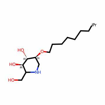 CC(C)CCCCCCCO[C@H]1CNC(CO)[C@@H](O)[C@@H]1O